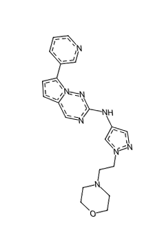 c1cncc(-c2ccc3cnc(Nc4cnn(CCN5CCOCC5)c4)nn23)c1